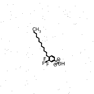 CCCCCCCCCCCCc1ccc(S(=O)(=O)O)cc1C(F)(F)F